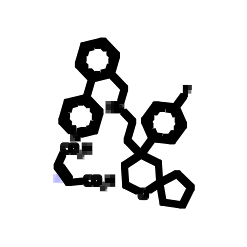 Fc1ccc(C2(CCNCc3ccccc3-c3ccncc3)CCOC3(CCCC3)C2)cc1.O=C(O)/C=C\C(=O)O